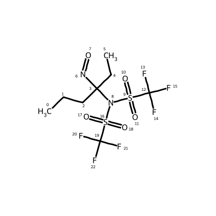 CCCC(CC)(N=O)N(S(=O)(=O)C(F)(F)F)S(=O)(=O)C(F)(F)F